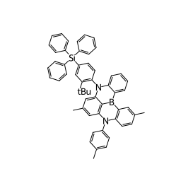 Cc1ccc(N2c3ccc(C)cc3B3c4ccccc4N(c4ccc([Si](c5ccccc5)(c5ccccc5)c5ccccc5)cc4C(C)(C)C)c4cc(C)cc2c43)cc1